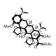 COc1ccc(N(C)C)c2c1C1(OCCO1)C1=C(O)[C@@]3(O)[C@@H](C[C@@H]1C2)[C@H](N(C)C)C(OC(C)=O)=C(C(=O)NC(C)=O)C31OCCO1